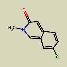 [CH2]n1cc2cc(Cl)ccc2cc1=O